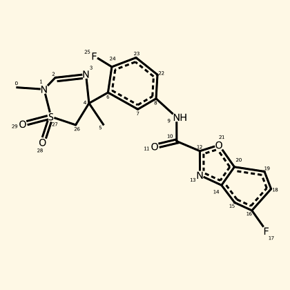 CN1C=NC(C)(c2cc(NC(=O)c3nc4cc(F)ccc4o3)ccc2F)CS1(=O)=O